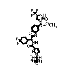 [2H]C([2H])([2H])C([2H])([2H])n1ccc(C(=O)N[C@H](c2nc3cc([C@@H](COC)N4C[C@@H](C(F)(F)F)NC4=O)ccc3o2)C2CCC(F)(F)CC2)n1